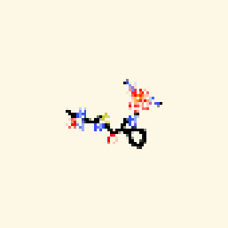 C=NOP(=O)(OCn1cc(C(=O)c2nc(-c3noc(C)n3)cs2)c2ccccc21)ON=C